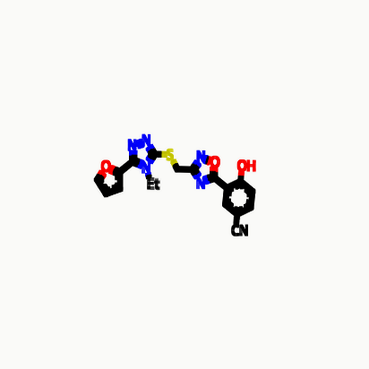 CCn1c(SCc2noc(-c3cc(C#N)ccc3O)n2)nnc1-c1ccco1